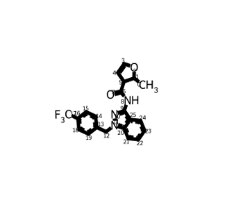 CC1OC=CC1C(=O)Nc1nn(Cc2ccc(C(F)(F)F)cc2)c2ccccc12